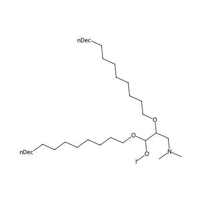 CCCCCCCCCCCCCCCCCCOC(CN(C)C)C(OI)OCCCCCCCCCCCCCCCCCC